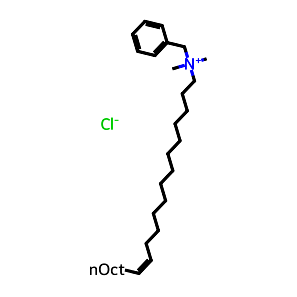 CCCCCCCC/C=C\CCCCCCCCCCCC[N+](C)(C)Cc1ccccc1.[Cl-]